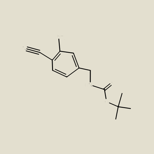 Bc1cc(CNC(=O)OC(C)(C)C)ccc1C#N